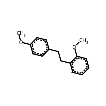 COc1ccc(CCc2[c]cccc2OC)cc1